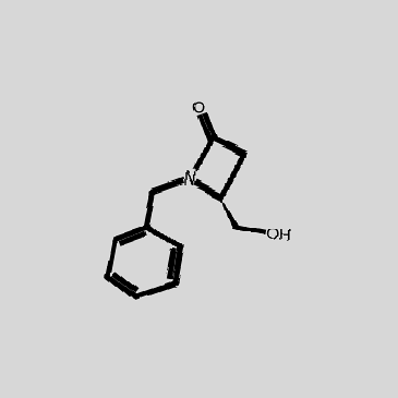 O=C1C[C@@H](CO)N1Cc1ccccc1